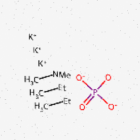 CCC.CCC.CNC.O=P([O-])([O-])[O-].[K+].[K+].[K+]